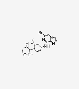 COc1cc(Nc2nc(Br)cn3ccnc23)ccc1C1NCCOC1(C)C